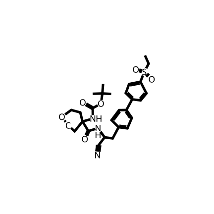 CCS(=O)(=O)c1ccc(-c2ccc(CC(C#N)NC(=O)C3(NC(=O)OC(C)(C)C)CCOCC3)cc2)cc1